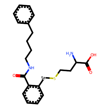 NC(CCS[Se]c1ccccc1C(=O)NCCCCc1ccccc1)C(=O)O